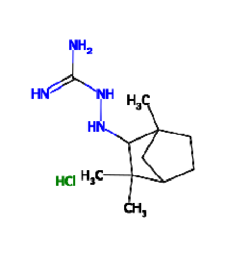 CC12CCC(C1)C(C)(C)C2NNC(=N)N.Cl